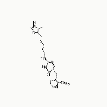 COc1ncccc1Cc1cnc(NCCCSCc2nc[nH]c2C)[nH]c1=O